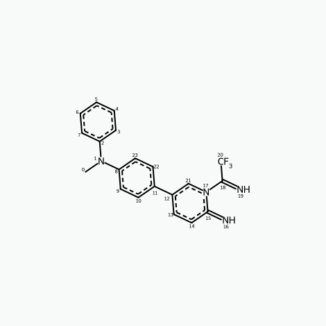 CN(c1ccccc1)c1ccc(-c2ccc(=N)n(C(=N)C(F)(F)F)c2)cc1